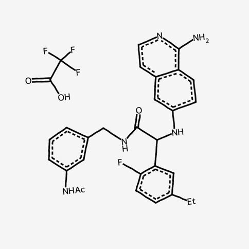 CCc1ccc(F)c(C(Nc2ccc3c(N)nccc3c2)C(=O)NCc2cccc(NC(C)=O)c2)c1.O=C(O)C(F)(F)F